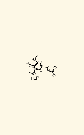 COc1cc(C=CC(=O)O)cc(OC)c1OC.Cl